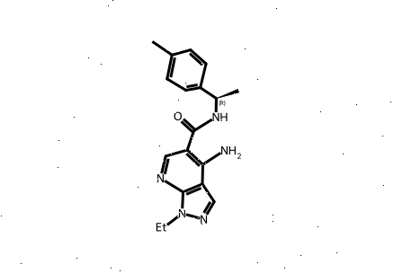 CCn1ncc2c(N)c(C(=O)N[C@H](C)c3ccc(C)cc3)cnc21